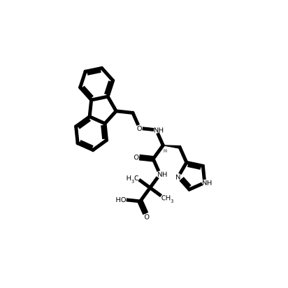 CC(C)(NC(=O)[C@H](Cc1c[nH]cn1)NOCC1c2ccccc2-c2ccccc21)C(=O)O